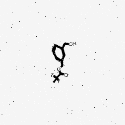 CC(F)(F)C(=O)OCC1CCCC(CO)C1